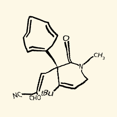 CN1CC=C(C(C)(C)C)[C@@](/C=C(/C#N)C=O)(c2ccccc2)C1=O